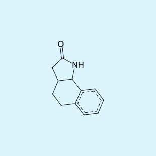 O=C1CC2CCc3ccccc3C2N1